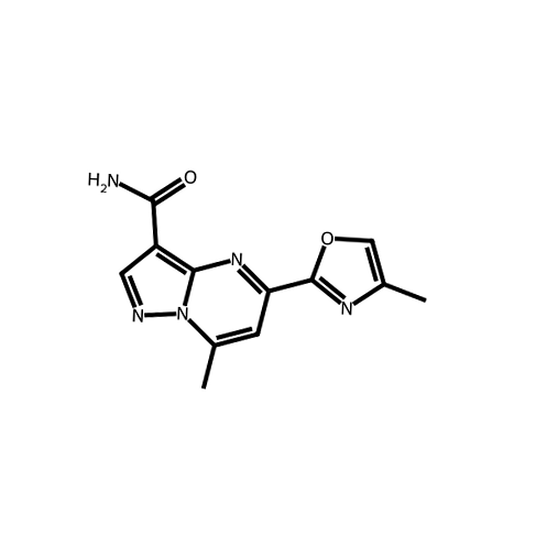 Cc1coc(-c2cc(C)n3ncc(C(N)=O)c3n2)n1